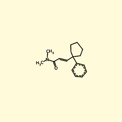 CN(C)C(=O)C=CC1(c2ccccc2)CCCCC1